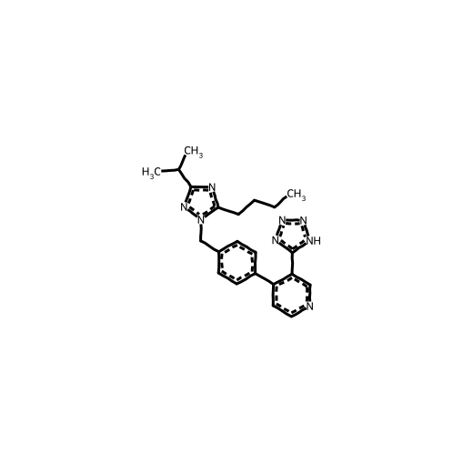 CCCCc1nc(C(C)C)nn1Cc1ccc(-c2ccncc2-c2nnn[nH]2)cc1